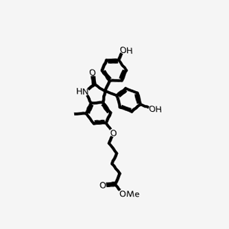 COC(=O)CCCCOc1cc(C)c2c(c1)C(c1ccc(O)cc1)(c1ccc(O)cc1)C(=O)N2